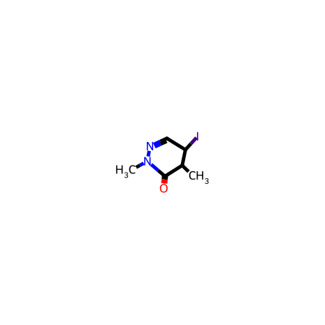 CC1C(=O)N(C)N=CC1I